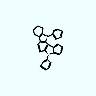 c1ccc(-n2c3ccccc3c3c2ccc2c4c(p(-c5ccccc5)c23)CCCC4)cc1